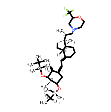 C=C1/C(=C\C=C2/CCC[C@]3(C)[C@@H]([C@H](C)CN4CCOC(C(F)(F)F)C4)CC[C@@H]23)CC(O[Si](C)(C)C(C)(C)C)[C@H](C)C1O[Si](C)(C)C(C)(C)C